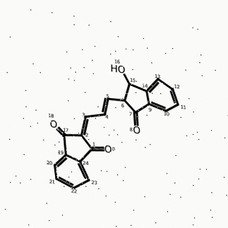 O=C1C(=C/C=C/C2C(=O)c3ccccc3C2O)C(=O)c2ccccc21